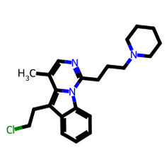 Cc1cnc(CCCN2CCCCC2)n2c1c(CCCl)c1ccccc12